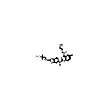 Cc1ccc2nc(Nc3ccc4nc(NCC(C)(C)O)sc4c3)nc(NCCCO)c2c1